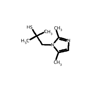 Cc1cnc(C)n1CC(C)(C)S